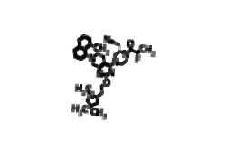 C=C(F)C(=O)N1CCN(c2nc(OCCC3CC(C)(C)CN3C)nc3c2CCN(c2cccc4cccc(C)c24)C3)C[C@@H]1CC#N